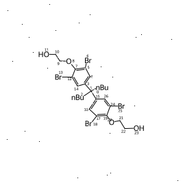 CCCCC(CCCC)(c1cc(Br)c(OCCO)c(Br)c1)c1cc(Br)c(OCCO)c(Br)c1